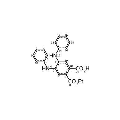 CCOC(=O)c1cc(Nc2ccccc2)c(Nc2ccccc2)cc1C(=O)O